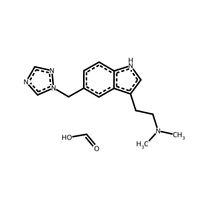 CN(C)CCc1c[nH]c2ccc(Cn3cncn3)cc12.O=CO